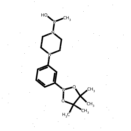 CB(O)N1CCN(c2cccc(B3OC(C)(C)C(C)(C)O3)c2)CC1